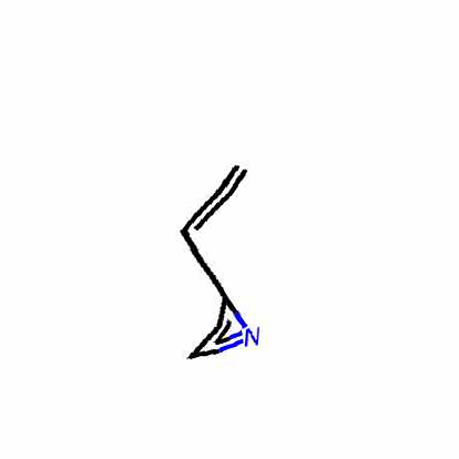 C=CC1=C=N1